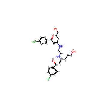 O=C(C=C(CCCO)NCCN/C(=C\C(=O)c1ccc(Br)cc1)CCCO)c1ccc(Br)cc1